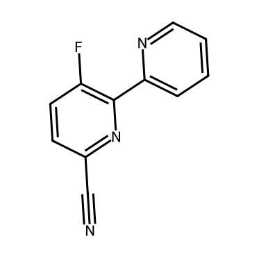 N#Cc1ccc(F)c(-c2ccccn2)n1